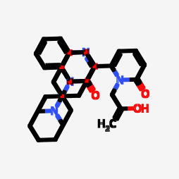 C=C(O)Cn1c(-c2nc3ccccc3n(C3CC4CCCC(C3)N4C3CC4CCCC(C4)C3)c2=O)cccc1=O